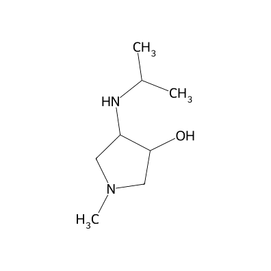 CC(C)NC1CN(C)CC1O